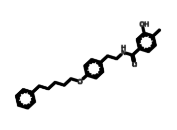 Cc1ccc(C(=O)NCCc2ccc(OCCCCCc3ccccc3)cc2)cc1O